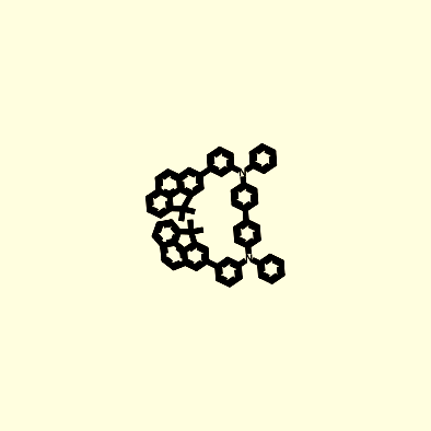 CC1(C)c2cccc3ccc4cc(-c5cccc(N(c6ccccc6)c6ccc(-c7ccc(N(c8ccccc8)c8cccc(-c9cc%10c%11c(ccc%12cccc(c%12%11)C%10(C)C)c9)c8)cc7)cc6)c5)cc1c4c23